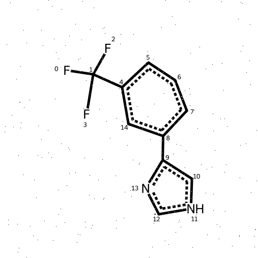 FC(F)(F)c1cccc(-c2c[nH][c]n2)c1